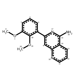 COc1cccc(-c2cc3ncccc3c(N)n2)c1OC